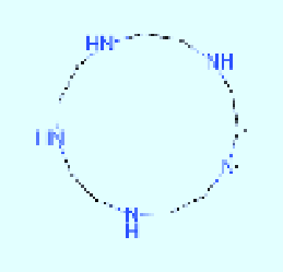 [CH]1CNCCNCCNCCNCC[N]1